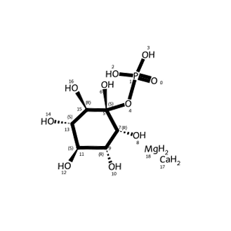 O=P(O)(O)O[C@]1(O)[C@H](O)[C@H](O)[C@@H](O)[C@H](O)[C@H]1O.[CaH2].[MgH2]